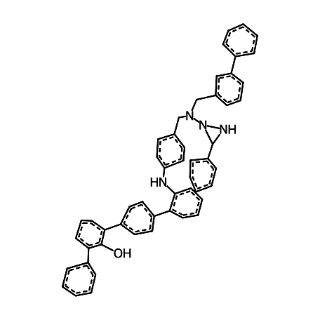 Oc1c(-c2ccccc2)cccc1-c1ccc(-c2ccccc2Nc2ccc(CN(Cc3cccc(-c4ccccc4)c3)N3NC3c3ccccc3)cc2)cc1